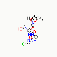 CC(C)(C)OC(=O)N1CCC(Oc2cc(N3CCC[C@H](O)C3)ccc2C(=O)Nc2ccccc2C(=O)Nc2ccc(Cl)cn2)CC1